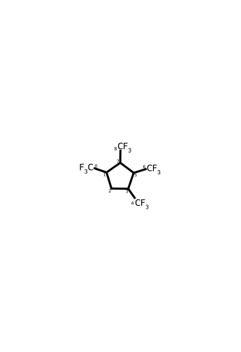 FC(F)(F)C1CC(C(F)(F)F)C(C(F)(F)F)C1C(F)(F)F